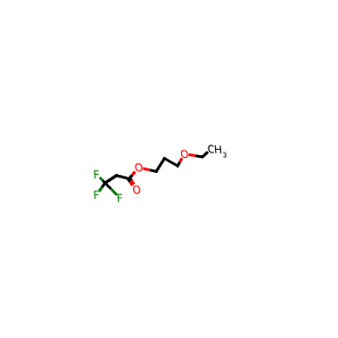 CCOCCCOC(=O)CC(F)(F)F